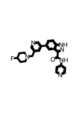 O=C(Nc1ccncc1)c1n[nH]c2ccc(-c3cncc(CN4CCC(F)CC4)c3)cc12